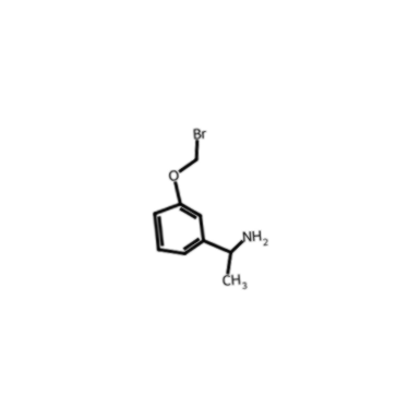 CC(N)c1cccc(OCBr)c1